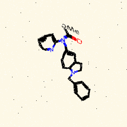 COC(=O)N(c1ccc2c(c1)CCN2Cc1ccccc1)c1ccccn1